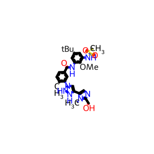 COc1c(NC(=O)c2ccc(C)c(N3C=C(c4cnc(CO)n4C)NN3)c2)cc(C(C)(C)C)cc1NS(C)(=O)=O